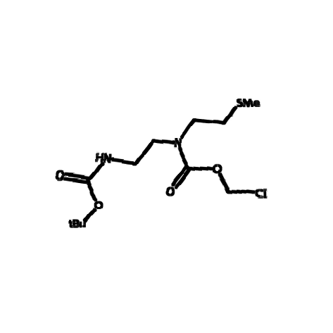 CSCCN(CCNC(=O)OC(C)(C)C)C(=O)OCCl